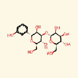 OC[C@H]1O[C@H](O[C@@H]2[C@H](O)[C@@H](c3cccc(O)c3)O[C@H](CO)[C@H]2O)[C@@H](O)[C@@H](O)[C@@H]1O